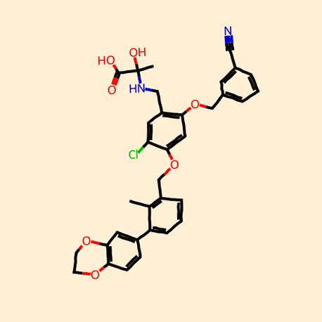 Cc1c(COc2cc(OCc3cccc(C#N)c3)c(CNC(C)(O)C(=O)O)cc2Cl)cccc1-c1ccc2c(c1)OCCO2